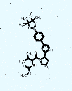 COC(=O)N[C@H](C(=O)N1C[C@@H](F)CC1c1nc(-c2ccc(B3OC(C)(C)C(C)(C)O3)cc2)c[nH]1)C(C)C